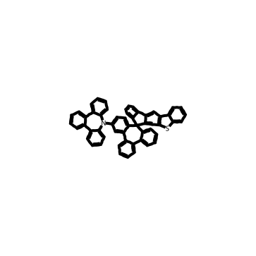 c1ccc2c(c1)-c1ccccc1N(c1ccc3c(c1)-c1ccccc1-c1ccccc1C31c3ccccc3-c3cc4c(cc31)sc1ccccc14)c1ccccc1-2